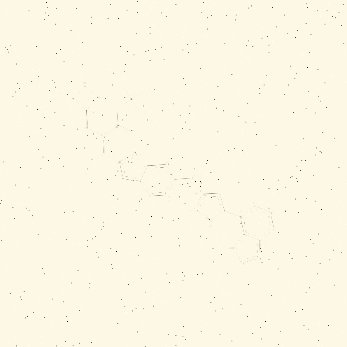 CC(C)(C)OC(=O)N(Cc1cc2cnc(Cn3cc(-c4cccc5[nH]ncc45)nn3)cc2[nH]1)CC1CCC1